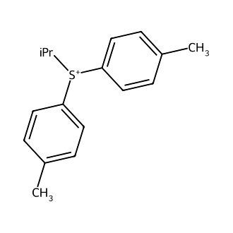 Cc1ccc([S+](c2ccc(C)cc2)C(C)C)cc1